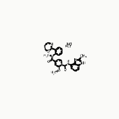 COc1cc(C(=O)N(C)c2ccccc2C2=NCCCO2)ccc1C(=O)Nc1cccc2[nH]c(C)nc12.Cl.Cl